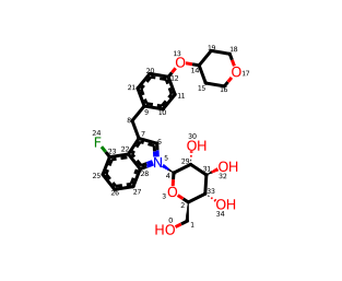 OC[C@H]1O[C@@H](n2cc(Cc3ccc(OC4CCOCC4)cc3)c3c(F)cccc32)[C@H](O)[C@@H](O)[C@@H]1O